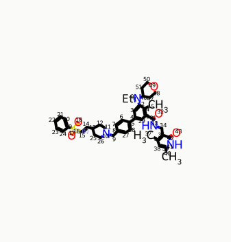 CCN(c1cc(-c2ccc(CN3CCC(/C=C/S(=O)(=O)c4ccccc4)CC3)cc2)cc(C(=O)NCc2c(C)cc(C)[nH]c2=O)c1C)C1CCOCC1